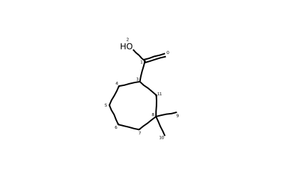 C=C(O)C1CCCCC(C)(C)C1